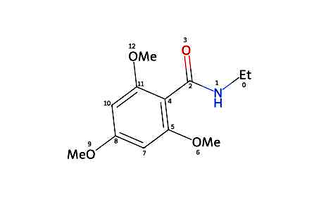 CCNC(=O)c1c(OC)cc(OC)cc1OC